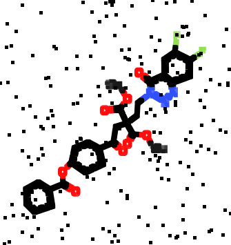 CC(C)(C)OC(=O)C(CCn1nnc2cc(F)c(F)cc2c1=O)(CC(=O)c1ccc(OC(=O)c2ccccc2)cc1)C(=O)OC(C)(C)C